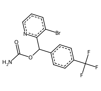 NC(=O)OC(c1ccc(C(F)(F)F)cc1)c1ncccc1Br